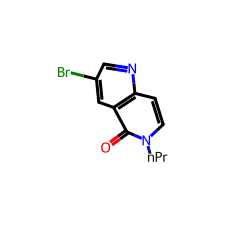 CCCn1ccc2ncc(Br)cc2c1=O